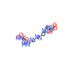 COC(=O)N[C@H](C(=O)N1CCC[C@H]1c1nc(-c2ccc(-c3cnc(-c4ccc5[nH]c([C@@H]6CCCN6C(=O)[C@@H](NC(=O)OC)C(C)C)nc5c4)cn3)cn2)c[nH]1)C(C)C